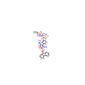 C[C@H](NC(=O)OC(C)(C)C)C(=O)Oc1cccc(C(NC(=O)OCC2c3ccccc3-c3ccccc32)C(N)=O)c1